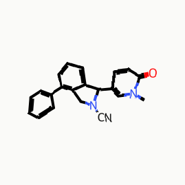 Cn1cc(C2c3cccc(-c4ccccc4)c3CN2C#N)ccc1=O